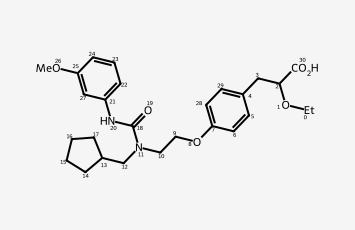 CCOC(Cc1ccc(OCCN(CC2CCCC2)C(=O)Nc2cccc(OC)c2)cc1)C(=O)O